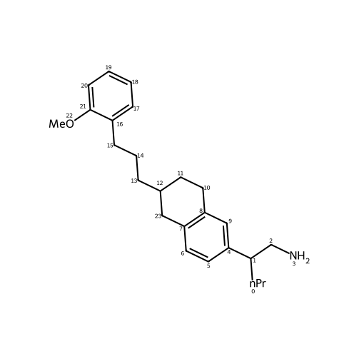 CCCC(CN)c1ccc2c(c1)CCC(CCCc1ccccc1OC)C2